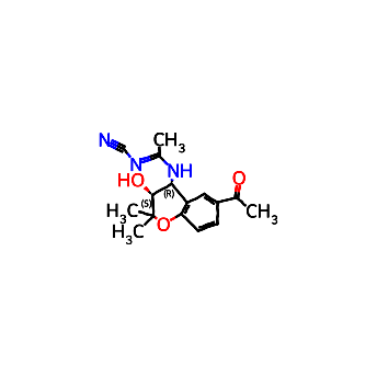 CC(=O)c1ccc2c(c1)[C@@H](NC(C)=NC#N)[C@H](O)C(C)(C)O2